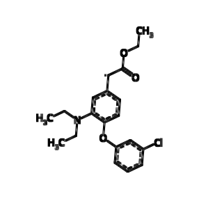 CCOC(=O)[CH]c1ccc(Oc2cccc(Cl)c2)c(N(CC)CC)c1